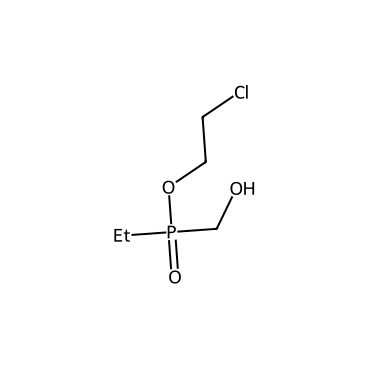 CCP(=O)(CO)OCCCl